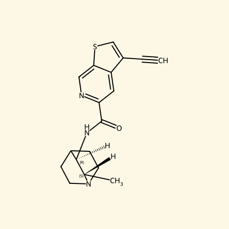 C#Cc1csc2cnc(C(=O)N[C@@H]3C4CCN(CC4)[C@H]3C)cc12